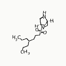 CCCC(CCC)CCCS(=O)(=O)N1C[C@H]2C[C@@H]1CN2